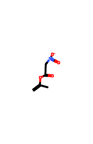 C=C(C)OC(=O)C[N+](=O)[O-]